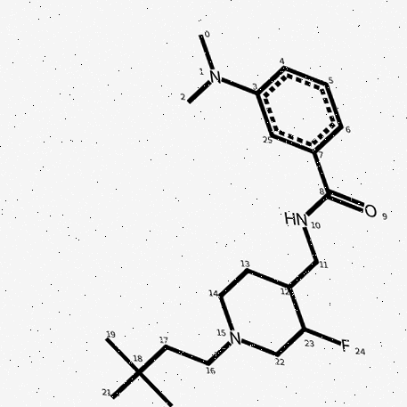 CN(C)c1cccc(C(=O)NCC2CCN(CCC(C)(C)C)CC2F)c1